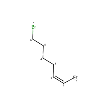 CC/C=C\CCCCBr